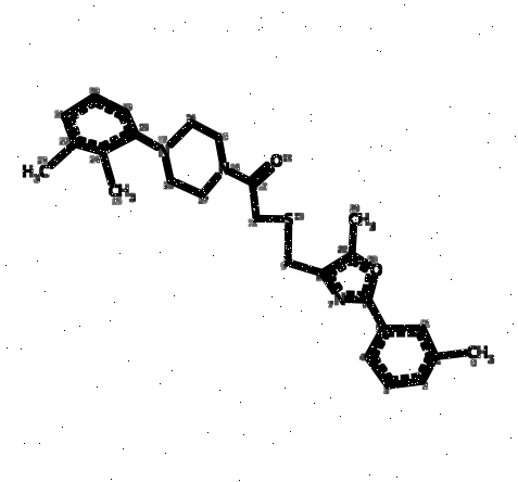 Cc1cccc(-c2nc(CSCC(=O)N3CCN(c4cccc(C)c4C)CC3)c(C)o2)c1